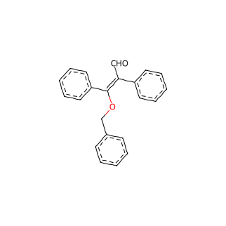 O=CC(=C(OCc1ccccc1)c1ccccc1)c1ccccc1